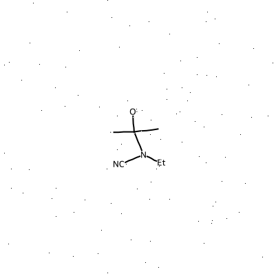 [CH2]C(C)([O])N(C#N)CC